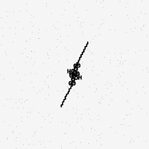 CCCCCCCCCCCCCCCCCC(=O)Oc1ccc(C(=O)NNC(=O)c2ccc(OC(=O)CCCCCCCCCCCCCCCCC)cc2O)c(O)c1